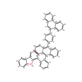 c1ccc(-c2cccc3c2oc2ccccc23)c(-c2c3ccccc3c(-c3ccc(-c4cc5ccccc5c5ccccc45)cc3)c3ccccc23)c1